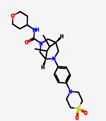 CC1C(C)[C@H]2CN(C(=O)NC3CCOCC3)C[C@@H]1CN2c1ccc(N2CCS(=O)(=O)CC2)cc1